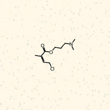 CC(=CCCl)C(=O)OCCCN(C)C